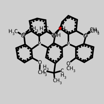 COc1cccc(OC)c1P(c1cc(C(C)(C)C)cc(P(c2c(OC)cccc2OC)c2c(OC)cccc2OC)c1O)c1c(OC)cccc1OC